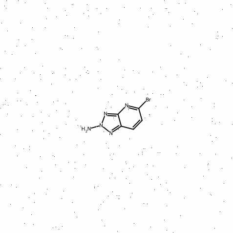 Nn1nc2ccc(Br)nc2n1